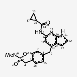 CNS(=O)(=O)Cc1ccc(Cc2cc(NC(=O)C3CC3)nc3[nH]ccc23)cc1